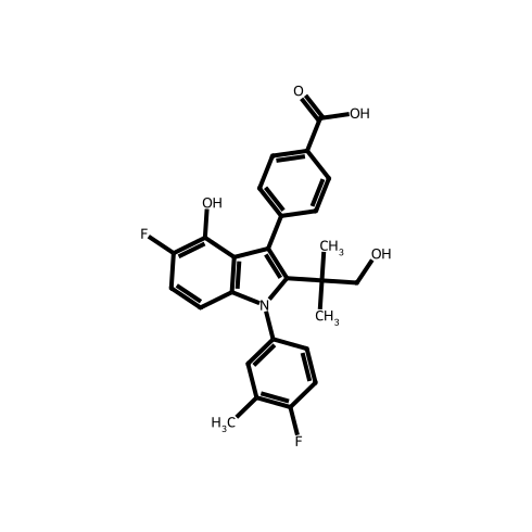 Cc1cc(-n2c(C(C)(C)CO)c(-c3ccc(C(=O)O)cc3)c3c(O)c(F)ccc32)ccc1F